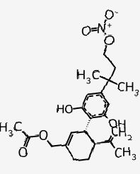 C=C(C)[C@H]1CCC(COC(C)=O)=C[C@@H]1c1c(O)cc(C(C)(C)CCO[N+](=O)[O-])cc1O